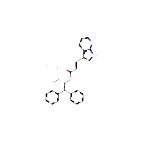 Cl.Cl.NC[C@@H](NC(=O)C=Cc1c[nH]c2ncccc12)C(c1ccccc1)c1ccccc1